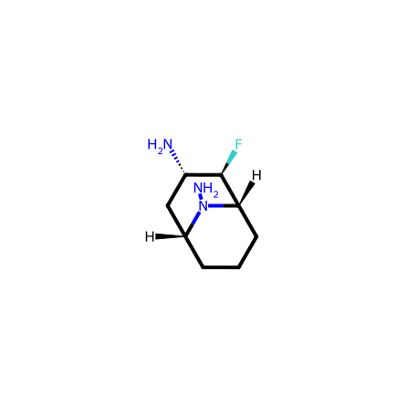 N[C@H]1C[C@H]2CCC[C@@H]([C@@H]1F)N2N